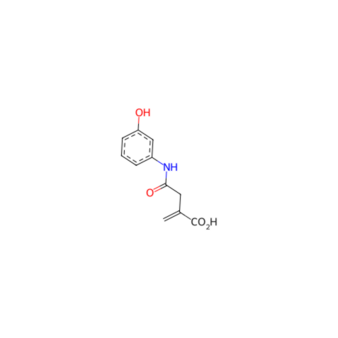 C=C(CC(=O)Nc1cccc(O)c1)C(=O)O